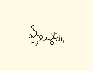 C=C(C)C(=O)OCC(C)OC(C=O)CC=O